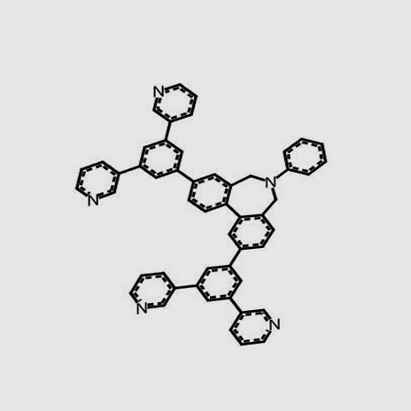 c1ccc(N2Cc3cc(-c4cc(-c5cccnc5)cc(-c5cccnc5)c4)ccc3-c3cc(-c4cc(-c5cccnc5)cc(-c5cccnc5)c4)ccc3C2)cc1